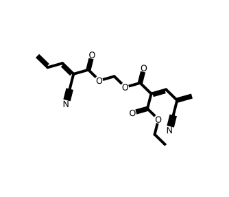 C=C/C=C(\C#N)C(=O)OCOC(=O)/C(=C/C(=C)C#N)C(=O)OCC